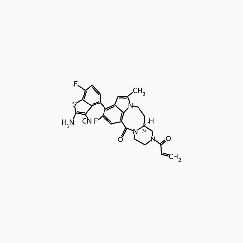 C=CC(=O)N1CCN2C(=O)c3cc(F)c(-c4ccc(F)c5sc(N)c(C#N)c45)c4cc(C)n(c34)CC[C@H]2C1